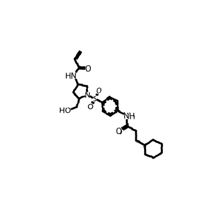 C=CC(=O)NC1CC(CO)N(S(=O)(=O)c2ccc(NC(=O)CCC3CCCCC3)cc2)C1